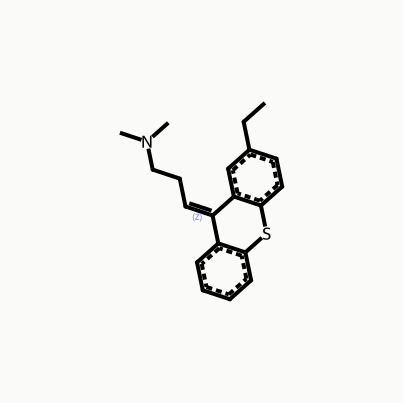 CCc1ccc2c(c1)/C(=C\CCN(C)C)c1ccccc1S2